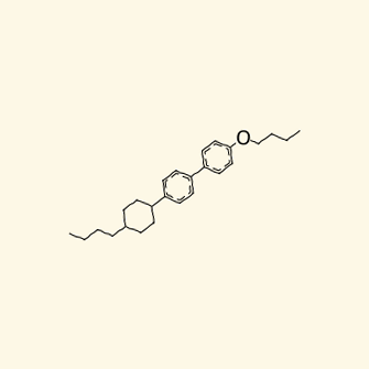 CCCCOc1ccc(-c2ccc(C3CCC(CCCC)CC3)cc2)cc1